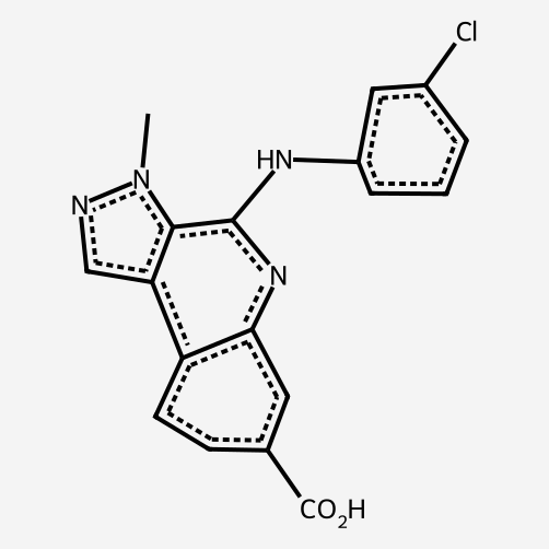 Cn1ncc2c3ccc(C(=O)O)cc3nc(Nc3cccc(Cl)c3)c21